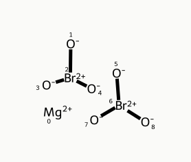 [Mg+2].[O-][Br+2]([O-])[O-].[O-][Br+2]([O-])[O-]